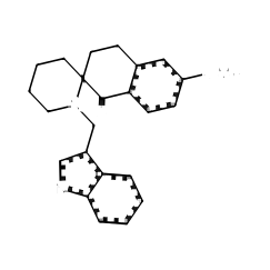 COc1ccc2c(c1)CCC1(CCCCN1Cc1c[nH]c3ccccc13)C2=O